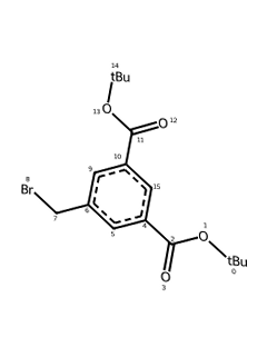 CC(C)(C)OC(=O)c1cc(CBr)cc(C(=O)OC(C)(C)C)c1